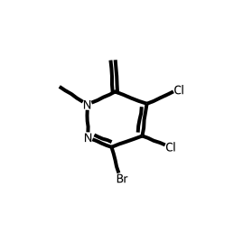 C=C1C(Cl)=C(Cl)C(Br)=NN1C